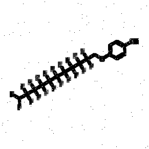 Oc1ccc(OCC(F)(F)C(F)(F)C(F)(F)C(F)(F)C(F)(F)C(F)(F)C(F)(F)C(F)(F)C(F)(F)C(F)F)cc1